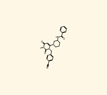 Cn1c(=O)cc(N2CCCC(NC(=O)c3ccccc3)C2)n(Cc2ccc(C#N)cc2)c1=O